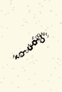 CC(C)(F)CN1CCC(COc2ccc(-c3ccc(C(=O)N4CCCCC4C(N)=O)c(F)c3)nc2)CC1